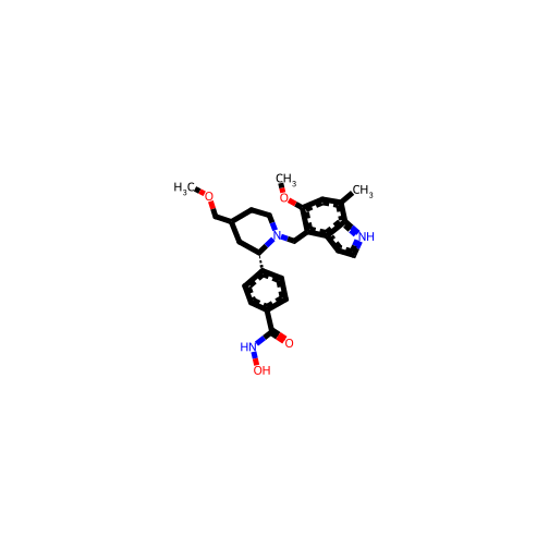 COCC1CCN(Cc2c(OC)cc(C)c3[nH]ccc23)[C@H](c2ccc(C(=O)NO)cc2)C1